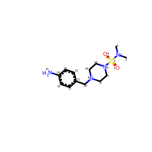 CN(C)S(=O)(=O)N1CCN(Cc2ccc(N)cc2)CC1